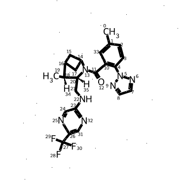 Cc1ccc(-n2nccn2)c(C(=O)N2C3CC(C3)[C@@H](C)[C@H]2CNc2cnc(C(F)(F)F)cn2)c1